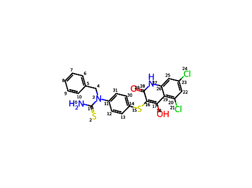 NC(=S)N(Cc1ccccc1)c1ccc(Sc2c(O)c3c(Cl)cc(Cl)cc3[nH]c2=O)cc1